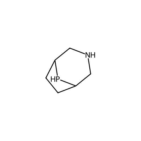 C1CC2CNCC1P2